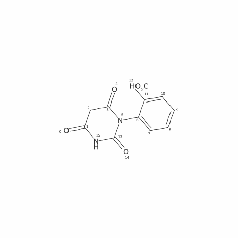 O=C1CC(=O)N(c2ccccc2C(=O)O)C(=O)N1